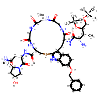 CC[C@H](C)[C@@H]1NC(=O)CNC(=O)[C@H](NC(=O)[C@@H](N)[C@@H](C)C(CO[Si](C)(C)C(C)(C)C)O[Si](C)(C)C(C)(C)C)Cc2c([nH]c3cc(OCc4ccccc4)ccc23)SC[C@H](C(=O)N[C@@H](CC(N)=O)C(=O)N2C[C@H](O)C[C@H]2C(=O)O)NC(=O)CNC1=O